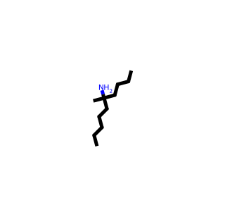 CCCCCC(C)(N)CCCC